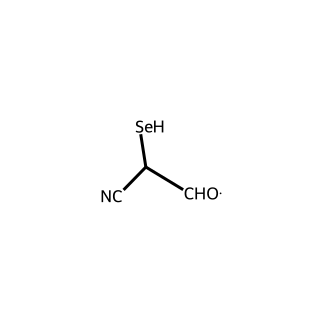 N#CC([SeH])[C]=O